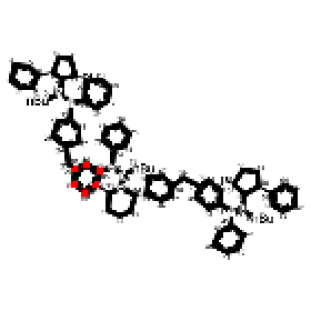 CCCCN(C1[C@@H](c2ccccc2)CC[C@@H]1P)P(c1ccccc1)c1ccc(Cc2ccc([C@@H]3CCC[C@@H](c4ccc(Cc5ccc(P(c6ccccc6)N(CCCC)C6[C@H](P)CC[C@H]6c6ccccc6)cc5)cc4)P3N(CCCC)P(c3ccccc3)c3ccccc3)cc2)cc1